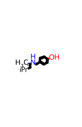 CC(C)C[C@H](C)NCc1ccc(O)cc1